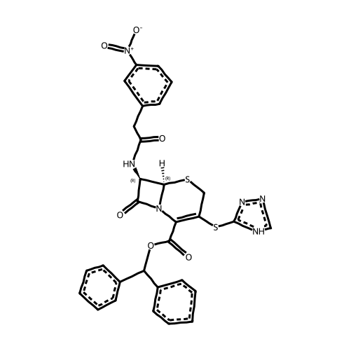 O=C(Cc1cccc([N+](=O)[O-])c1)N[C@@H]1C(=O)N2C(C(=O)OC(c3ccccc3)c3ccccc3)=C(Sc3nnc[nH]3)CS[C@H]12